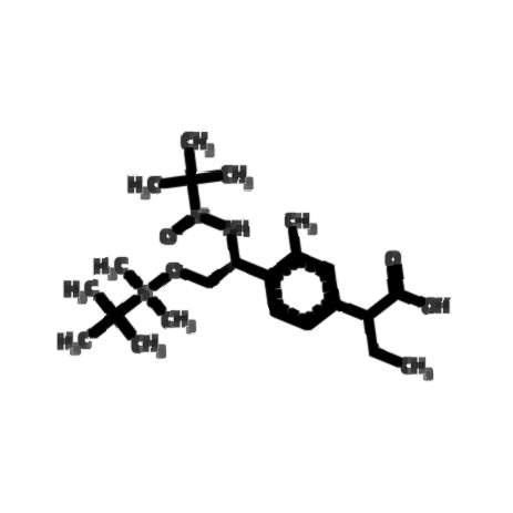 CCC(C(=O)O)c1ccc([C@@H](CO[Si](C)(C)C(C)(C)C)N[S+]([O-])C(C)(C)C)c(C)c1